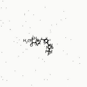 CN(C)C(=O)c1ncn(Cc2ccc(-c3noc(C(F)(F)F)n3)s2)n1